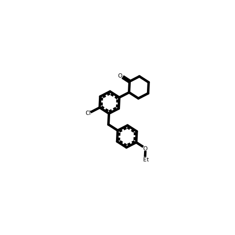 CCOc1ccc(Cc2cc(C3CCCCC3=O)ccc2Cl)cc1